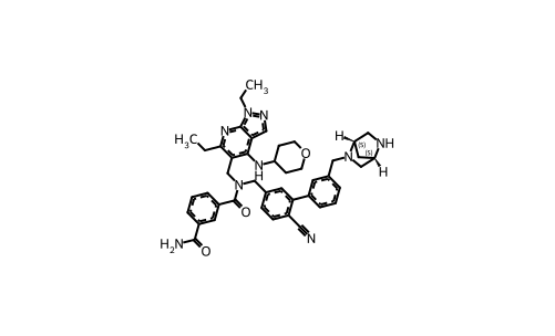 CCc1nc2c(cnn2CC)c(NC2CCOCC2)c1CN(Cc1ccc(C#N)c(-c2cccc(CN3C[C@@H]4C[C@H]3CN4)c2)c1)C(=O)c1cccc(C(N)=O)c1